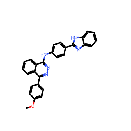 COc1ccc(-c2nnc(Nc3ccc(-c4nc5ccccc5[nH]4)cc3)c3ccccc23)cc1